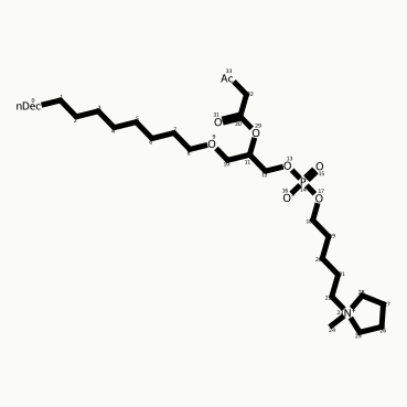 CCCCCCCCCCCCCCCCCCOCC(COP(=O)([O-])OCCCCC[N+]1(C)CCCC1)OC(=O)CC(C)=O